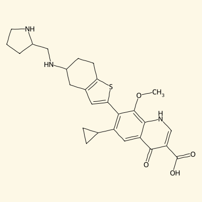 COc1c(-c2cc3c(s2)CCC(NCC2CCCN2)C3)c(C2CC2)cc2c(=O)c(C(=O)O)c[nH]c12